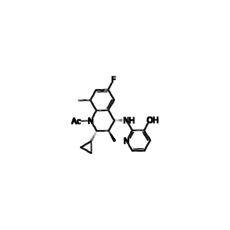 CC(=O)N1C2C(=CC(F)=CC2C)[C@H](Nc2ncccc2O)[C@@H](C)[C@@H]1C1CC1